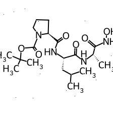 CC(C)C[C@H](NC(=O)[C@@H]1CCCN1C(=O)OC(C)(C)C)C(=O)N[C@@H](C)C(=O)NO